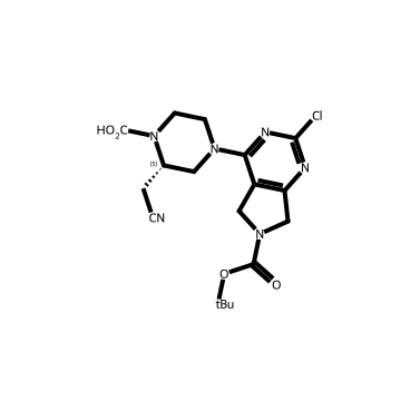 CC(C)(C)OC(=O)N1Cc2nc(Cl)nc(N3CCN(C(=O)O)[C@@H](CC#N)C3)c2C1